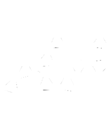 c1ccc(-c2ccc(N(c3cccc(-c4cccc(-c5ccc6c(c5)-c5ccccc5C(c5ccccc5)C6)c4)c3)c3ccc4c(c3)-c3ccccc3C4)cc2)cc1